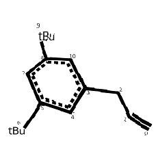 C=CCc1[c]c(C(C)(C)C)cc(C(C)(C)C)c1